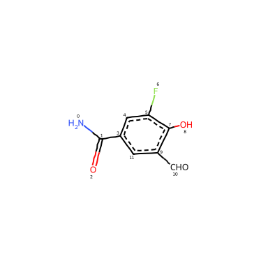 NC(=O)c1cc(F)c(O)c(C=O)c1